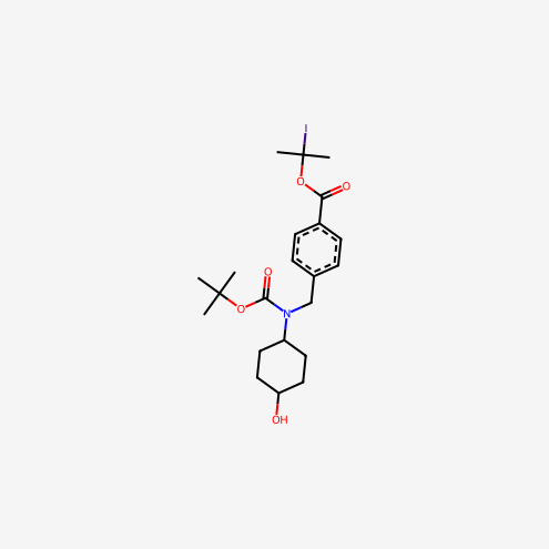 CC(C)(C)OC(=O)N(Cc1ccc(C(=O)OC(C)(C)I)cc1)C1CCC(O)CC1